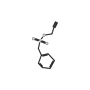 C#CCOS(=O)(=O)Cc1ccccc1